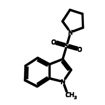 Cn1cc(S(=O)(=O)N2CCCC2)c2ccccc21